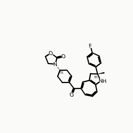 C[C@]1(c2ccc(F)cc2)CC2=C(C=C=CC(C(=O)C3=CC[C@@H](N4CCOC4=O)CC3)=C2)N1